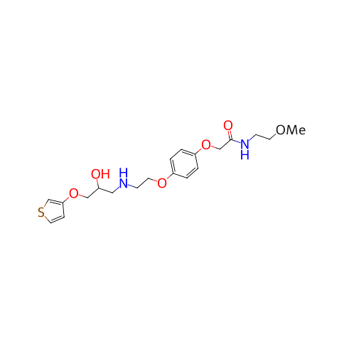 COCCNC(=O)COc1ccc(OCCNCC(O)COc2ccsc2)cc1